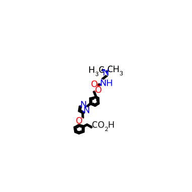 CN(C)CCNC(=O)OCc1cccc(-c2nccc(COc3ccccc3CCC(=O)O)n2)c1